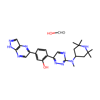 CN(c1ncc(-c2ccc(-c3cnc4[nH]ncc4n3)cc2O)nn1)C1CC(C)(C)NC(C)(C)C1.O=CO